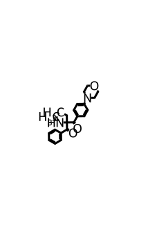 CCC(NC)(C(=O)c1ccccc1)C(=O)c1ccc(N2CCOCC2)cc1